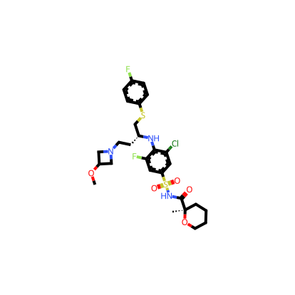 COC1CN(CC[C@H](CSc2ccc(F)cc2)Nc2c(F)cc(S(=O)(=O)NC(=O)[C@@]3(C)CCCCO3)cc2Cl)C1